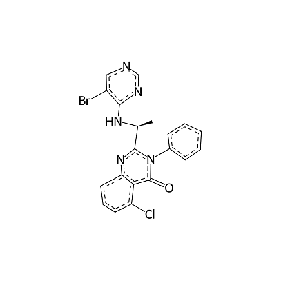 C[C@H](Nc1ncncc1Br)c1nc2cccc(Cl)c2c(=O)n1-c1ccccc1